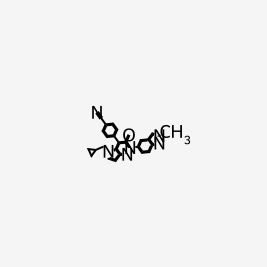 Cn1cc2cc(-n3nc4ccn(CC5CC5)c4c(-c4ccc(C#N)cc4)c3=O)ccc2n1